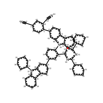 N#Cc1ccc(-c2ccc3c4ccccc4n(-c4ccc(-c5ccc6c7ccccc7n(-c7ccccc7)c6c5)cc4-c4nc(-c5ccccc5)nc(-c5ccccc5)n4)c3c2)c(C#N)c1